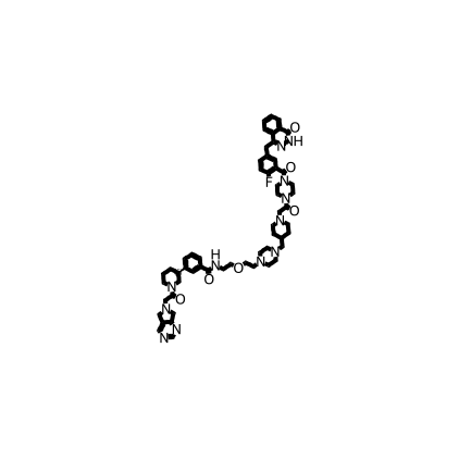 O=C(NCCOCCN1CCN(CC2CCN(CC(=O)N3CCN(C(=O)c4cc(Cc5n[nH]c(=O)c6ccccc56)ccc4F)CC3)CC2)CC1)c1cccc([C@@H]2CCCN(C(=O)CN3Cc4cncnc4C3)C2)c1